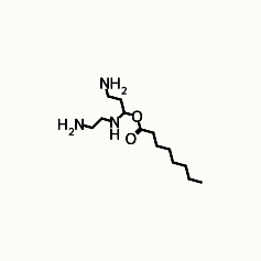 CCCCCCCC(=O)OC(CCN)NCCN